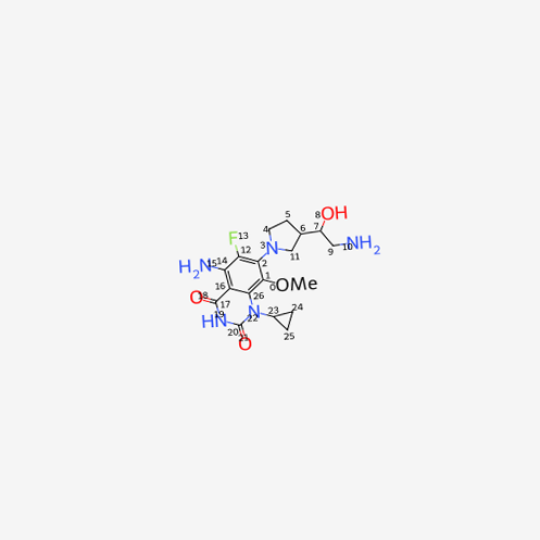 COc1c(N2CCC(C(O)CN)C2)c(F)c(N)c2c(=O)[nH]c(=O)n(C3CC3)c12